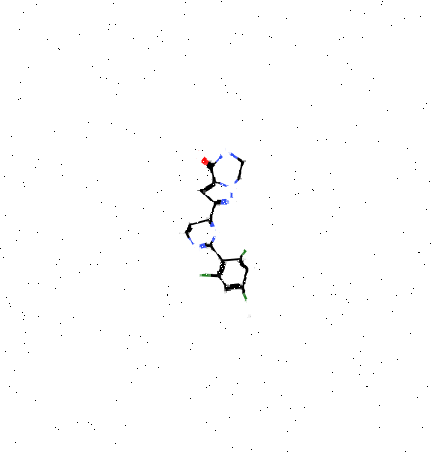 O=C1NCCn2nc(-c3ccnc(-c4c(Cl)cc(Cl)cc4Cl)n3)cc21